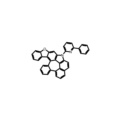 c1ccc(-c2cccc(-n3c4cc5oc6ccccc6c5c5c4c4c6c(cccc6ccc43)-c3ccccc3-5)n2)cc1